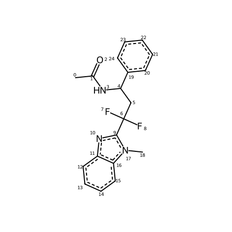 CC(=O)NC(CC(F)(F)c1nc2ccccc2n1C)c1ccccc1